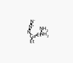 C[CH2][Ga]([CH2]C)[N]=[N+]=[N-].NN